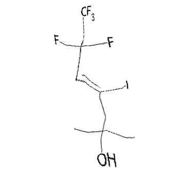 CC(C)(O)C(I)=CC(F)(F)C(F)(F)F